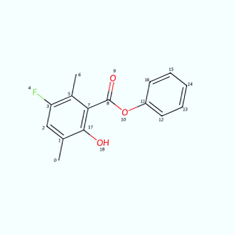 Cc1cc(F)c(C)c(C(=O)Oc2ccccc2)c1O